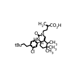 C=C(CCN1C=C2C(C)C(C)(C)CC[C@]2(c2ccc(CCC(C)(C)C)c(Cl)c2)NC1=O)C(=O)O